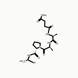 COC(=O)CCC(=O)N[C@@H](C)C(=O)N[C@@H](C)C(=O)N1CCC[C@H]1C(=O)N[C@H](C(=O)O)C(C)C